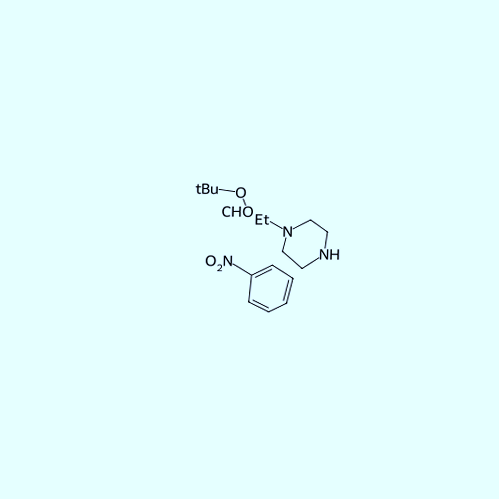 CC(C)(C)OC=O.CCN1CCNCC1.O=[N+]([O-])c1ccccc1